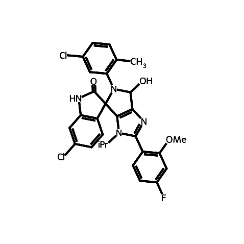 COc1cc(F)ccc1-c1nc2c(n1C(C)C)C1(C(=O)Nc3cc(Cl)ccc31)N(c1cc(Cl)ccc1C)C2O